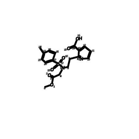 COC(=O)CN(CCc1ncccc1C(=O)O)S(=O)(=O)c1ccc(C)cc1